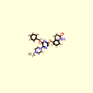 CN1CCN(c2ncc(Sc3cccc4c3CCC(=O)N4)nc2OCc2ccccc2)CC1